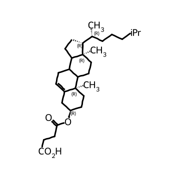 CC(C)CCC[C@@H](C)[C@H]1CCC2C3CC=C4C[C@H](OC(=O)CCC(=O)O)CC[C@]4(C)C3CC[C@@]21C